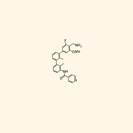 COc1cc(-c2cccc(-c3cccc(NC(=O)c4ccncc4)c3C)c2C)cc(F)c1CN